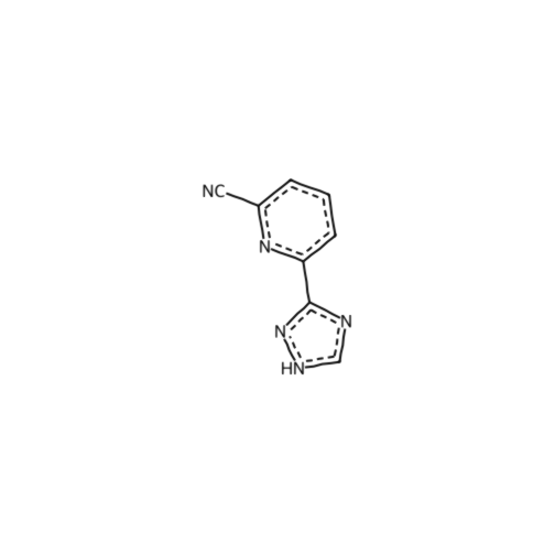 N#Cc1cccc(-c2nc[nH]n2)n1